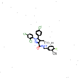 N#Cc1cc(CNC(=O)c2nn(-c3ccc(Cl)cc3Cl)c(-c3ccc(Cl)cc3)c2CC(=O)O)ccc1F